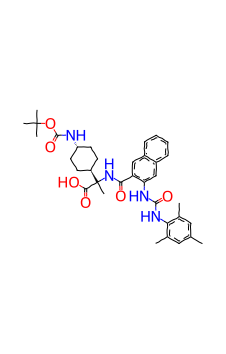 Cc1cc(C)c(NC(=O)Nc2cc3ccccc3cc2C(=O)NC(C)(C(=O)O)[C@H]2CC[C@H](NC(=O)OC(C)(C)C)CC2)c(C)c1